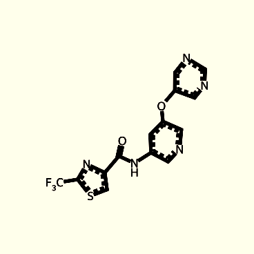 O=C(Nc1cncc(Oc2cncnc2)c1)c1csc(C(F)(F)F)n1